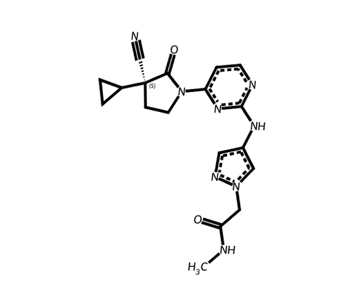 CNC(=O)Cn1cc(Nc2nccc(N3CC[C@@](C#N)(C4CC4)C3=O)n2)cn1